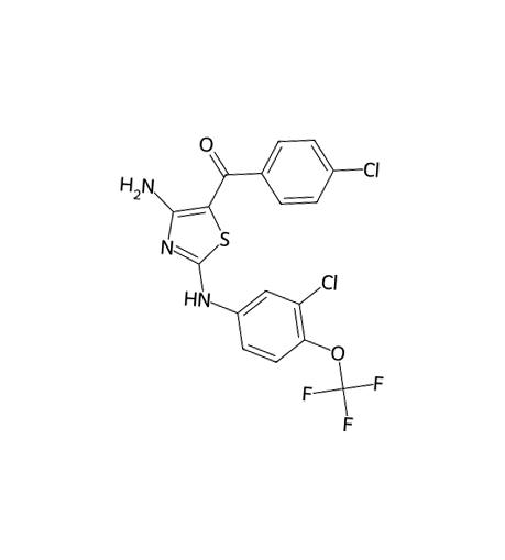 Nc1nc(Nc2ccc(OC(F)(F)F)c(Cl)c2)sc1C(=O)c1ccc(Cl)cc1